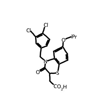 CC(C)Oc1ccc2c(c1)N(Cc1ccc(Cl)c(Cl)c1)C(=O)C(CC(=O)O)S2